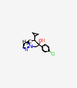 CC(C1CC1)C(O)(Cn1cccn1)c1ccc(Cl)cc1